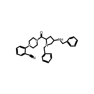 N#Cc1ccccc1N1CCN(C(=O)C2CC(NCc3ccccc3)CN2Cc2ccccc2)CC1